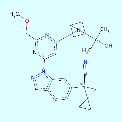 COCc1nc(N2CC3(C(C)(C)O)CC2C3)cc(-n2ncc3ccc([C@]4(C#N)CC45CC5)cc32)n1